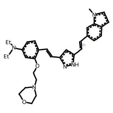 CCN(CC)c1ccc(C=Cc2cc(/C=C/c3ccc4ccn(C)c4c3)[nH]n2)c(OCCN2CCOCC2)c1